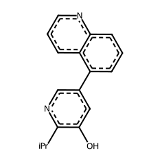 CC(C)c1ncc(-c2cccc3ncccc23)cc1O